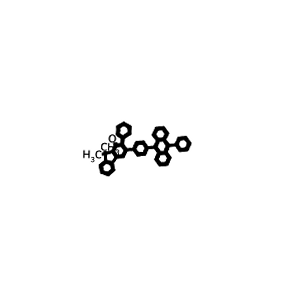 CC1(C)c2ccccc2-c2cc(-c3ccc(-c4c5ccccc5c(-c5ccccc5)c5ccccc45)cc3)c3c(oc4ccccc43)c21